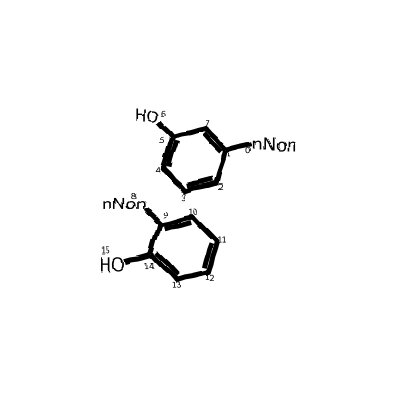 CCCCCCCCCc1cccc(O)c1.CCCCCCCCCc1ccccc1O